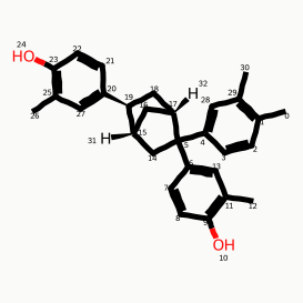 Cc1ccc(C2(c3ccc(O)c(C)c3)C[C@H]3C[C@@H]2C[C@@H]3c2ccc(O)c(C)c2)cc1C